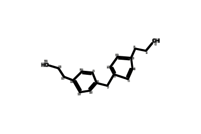 OCCc1ccc(Cc2ccc(CCO)cc2)cc1